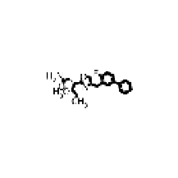 CC[C@H](C)[C@H](CC(N)=O)C1=NC(Cc2cc(-c3ccccc3)ccc2F)CO1